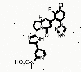 O=C(O)Nc1cc(-c2cnc([C@@H]3CC[C@@H]4CC(c5c(-n6cnnn6)ccc(Cl)c5F)=CC(=O)N43)[nH]2)ccn1